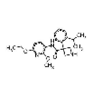 CCOc1ccc(NC(=O)C2(c3ccccc3C(C)C)CNC2)c(OC)n1